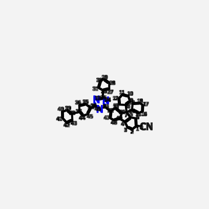 N#Cc1ccc2c(c1)C(c1ccccc1)(c1ccccc1)c1cc(-c3nc(-c4ccccc4)nc(-c4ccc(-c5ccccc5)cc4)n3)ccc1-2